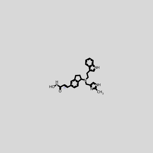 Cc1nc(CN(CCc2c[nH]c3ccccc23)C2CCc3cc(/C=C/C(=O)NO)ccc32)c[nH]1